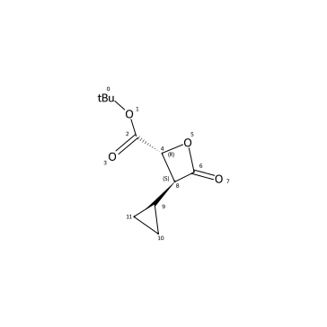 CC(C)(C)OC(=O)[C@@H]1OC(=O)[C@H]1C1CC1